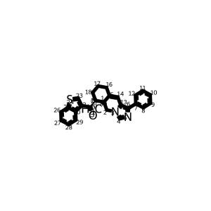 C[C@]12Cn3cnc(-c4ccccc4)c3C=C1CCC[C@@H]2C(=O)c1csc2ccccc12